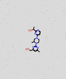 Cc1cc(CO)nc(N2CCN(c3ccnc(C(C)O)n3)CC2C)n1